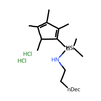 CCCCCCCCCCCC[NH][Ti]([C]1=C(C)C(C)=C(C)C1C)[SiH](C)C.Cl.Cl